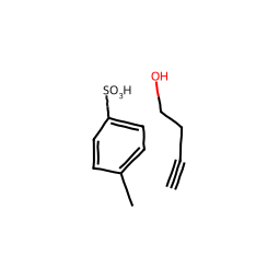 C#CCCO.Cc1ccc(S(=O)(=O)O)cc1